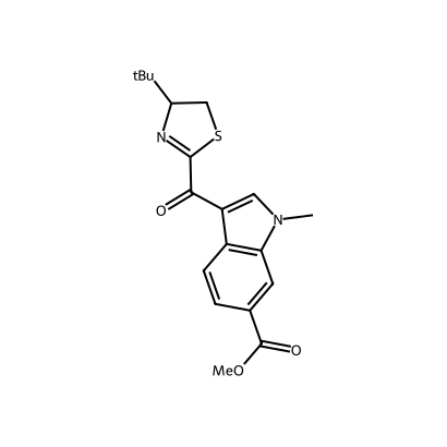 COC(=O)c1ccc2c(C(=O)C3=NC(C(C)(C)C)CS3)cn(C)c2c1